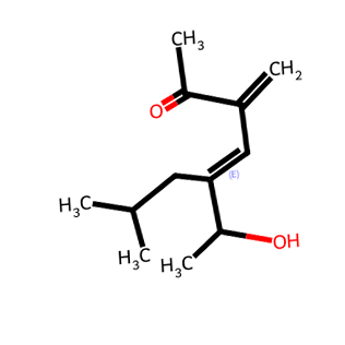 C=C(/C=C(\CC(C)C)C(C)O)C(C)=O